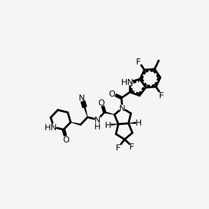 Cc1cc(F)c2cc(C(=O)N3C[C@@H]4CC(F)(F)C[C@@H]4[C@H]3C(=O)N[C@H](C#N)C[C@@H]3CCCNC3=O)[nH]c2c1F